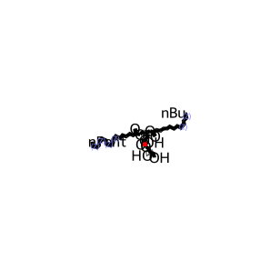 CCCC/C=C\C/C=C\CCCCCCCC(=O)O[C@H](COC(=O)CCCCC/C=C\C/C=C\C/C=C\C/C=C\CCCCC)COP(=O)(O)OC[C@@H](O)CO